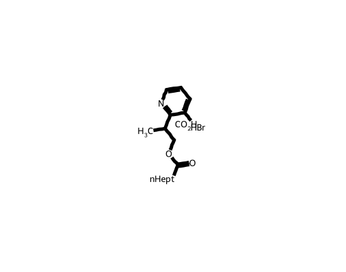 Br.CCCCCCCC(=O)OCC(C)c1ncccc1C(=O)O